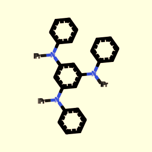 CC(C)N(c1ccccc1)c1cc(N(c2ccccc2)C(C)C)cc(N(c2ccccc2)C(C)C)c1